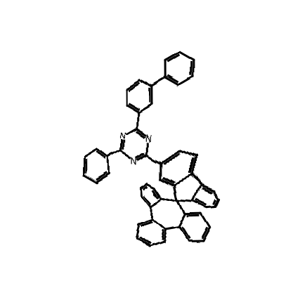 c1ccc(-c2cccc(-c3nc(-c4ccccc4)nc(-c4ccc5c(c4)C4(c6ccccc6-c6ccccc6-c6ccccc64)c4ccccc4-5)n3)c2)cc1